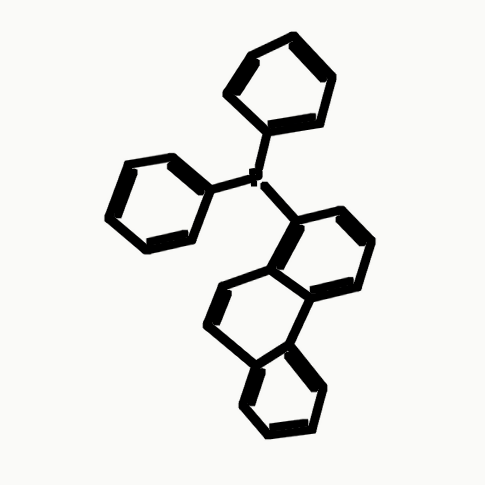 c1ccc(P(c2ccccc2)c2cccc3c2ccc2ccccc23)cc1